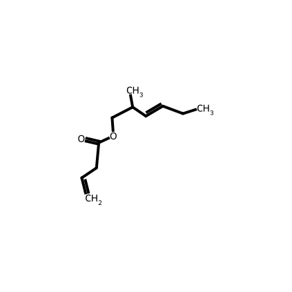 C=CCC(=O)OCC(C)C=CCC